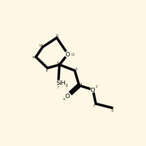 CCOC(=O)CC1([SiH3])CCCCO1